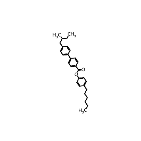 CCCCCCc1ccc(OC(=O)c2ccc(-c3ccc(C[C@@H](C)CC)cc3)cc2)cc1